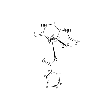 N=C1NC2CNC(=N)N3C[C@H](OC(=O)c4ccccc4)[C@@H](O)[C@]23N1